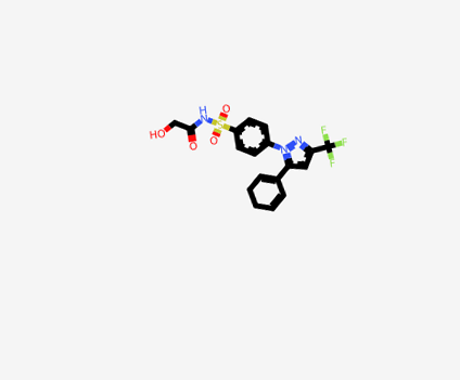 O=C(CO)NS(=O)(=O)c1ccc(-n2nc(C(F)(F)F)cc2C2=CCCC=C2)cc1